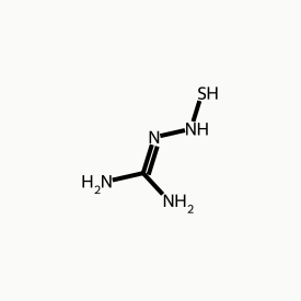 NC(N)=NNS